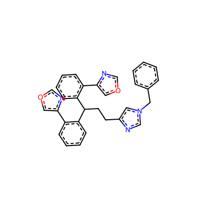 c1ccc(Cn2cnc(CCC(c3ccccc3-c3cocn3)c3ccccc3-c3cocn3)c2)cc1